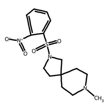 CN1CCC2(CC1)CCN(S(=O)(=O)c1ccccc1[N+](=O)[O-])C2